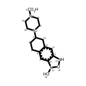 O=C(O)N1CCN(C2CCc3cc4c(cc3C2)NON4O)CC1